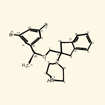 C[C@H](OCC1(N2CCNCC2)Cc2ccccc2C1)c1cc(Br)cc(Br)c1